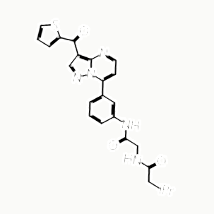 CC(C)CC(=O)NCC(=O)Nc1cccc(-c2ccnc3c(C(=O)c4cccs4)cnn23)c1